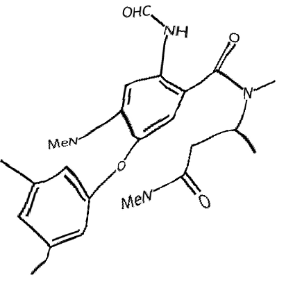 CNC(=O)CC(C)N(C)C(=O)c1cc(Oc2cc(C)cc(C)c2)c(NC)cc1NC=O